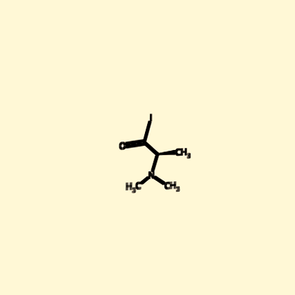 C[C@H](C(=O)I)N(C)C